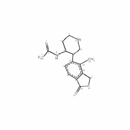 CC(=O)NC1CCNCC1c1ccc2c(c1C)COC2=O